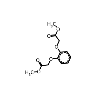 COC(=O)COc1c[c]ccc1OCC(=O)OC